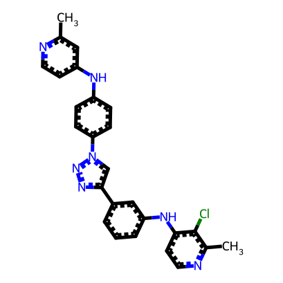 Cc1cc(Nc2ccc(-n3cc(-c4cccc(Nc5ccnc(C)c5Cl)c4)nn3)cc2)ccn1